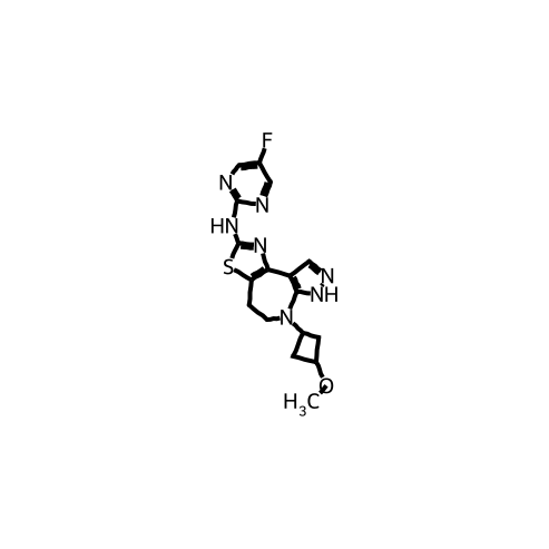 COC1CC(N2CCc3sc(Nc4ncc(F)cn4)nc3-c3cn[nH]c32)C1